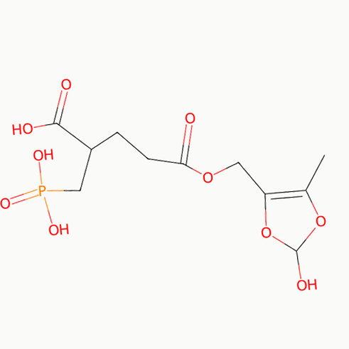 CC1=C(COC(=O)CCC(CP(=O)(O)O)C(=O)O)OC(O)O1